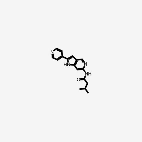 CC(C)CC(=O)Nc1cc2[nH]c(-c3ccncc3)cc2cn1